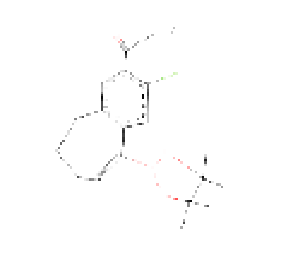 COC(=O)c1cc2c(cc1F)C(B1OC(C)(C)C(C)(C)O1)=CCCC2